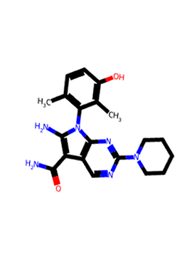 Cc1ccc(O)c(C)c1-n1c(N)c(C(N)=O)c2cnc(N3CCCCC3)nc21